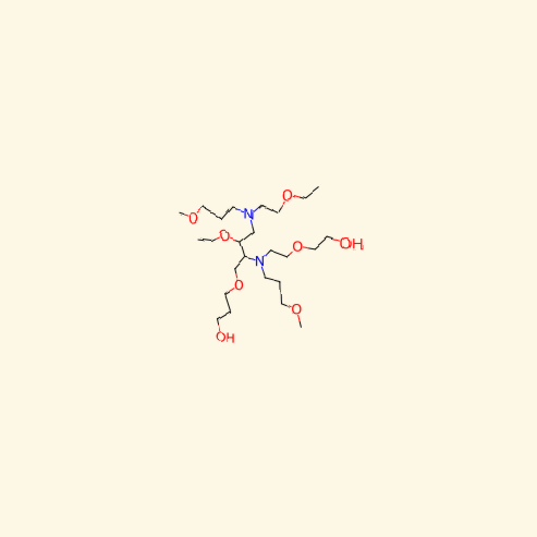 CCOCCN(CCCOC)CC(OCC)C(COCCCO)N(CCCOC)CCOCCO